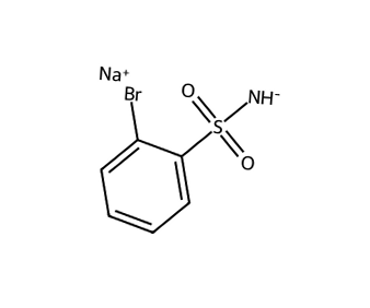 [NH-]S(=O)(=O)c1ccccc1Br.[Na+]